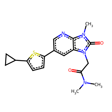 CN(C)C(=O)Cn1c(=O)n(C)c2ncc(-c3ccc(C4CC4)s3)cc21